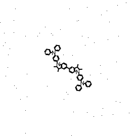 CC1c2cc(-c3ccc4c(c3)C(C)C(C)N4c3ccc(N(c4ccccc4)c4ccccc4)cc3)ccc2N(c2ccc(N(c3ccccc3)c3ccccc3)cc2)C1C